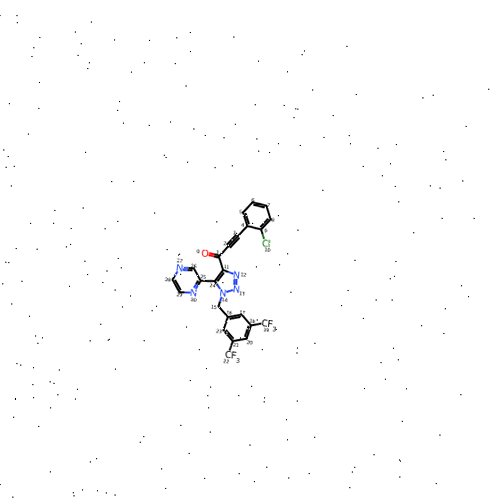 O=C(C#Cc1ccccc1Cl)c1nnn(Cc2cc(C(F)(F)F)cc(C(F)(F)F)c2)c1-c1cnccn1